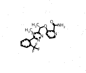 C[C@H](Oc1cccnc1C(N)=O)c1nnc(-c2ccccc2C(F)(F)F)n1C